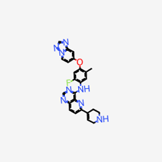 Cc1cc(Nc2ncnc3ccc(C4=CCNCC4)nc23)c(F)cc1Oc1ccn2ncnc2c1